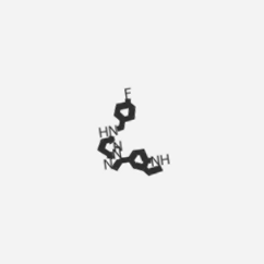 Fc1ccc(CNc2ccc3ncc(-c4ccc5[nH]ccc5c4)n3n2)cc1